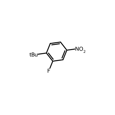 [CH2]C(C)(C)c1ccc([N+](=O)[O-])cc1F